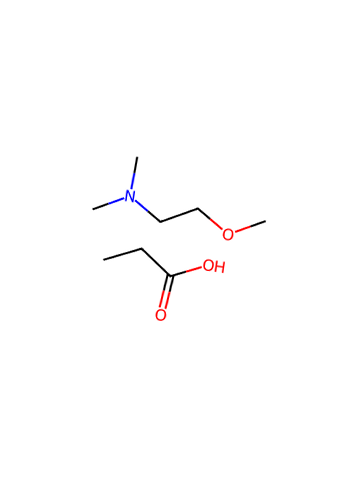 CCC(=O)O.COCCN(C)C